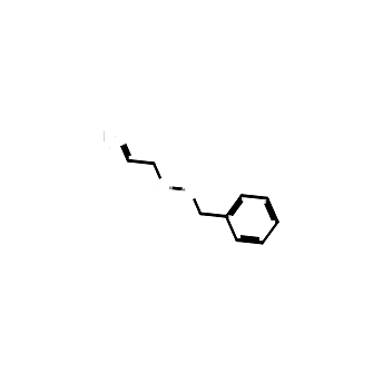 C=CCOOCc1ccccc1